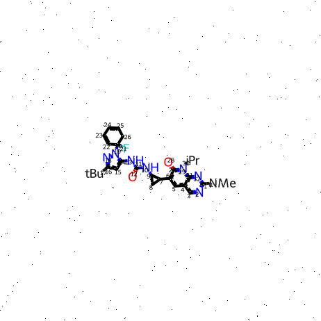 CNc1ncc2cc(C3CC3NC(=O)Nc3cc(C(C)(C)C)nn3C3(F)C=CC=CC3)c(=O)n(C(C)C)c2n1